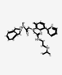 Cc1ccc(-c2ccccn2)cc1N(CC(=O)NCCNC(C)C)CC(=O)N(C)N1Cc2ccccc2C1